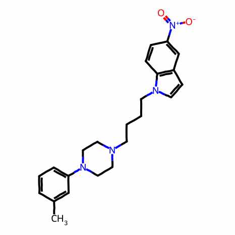 Cc1cccc(N2CCN(CCCCn3ccc4cc([N+](=O)[O-])ccc43)CC2)c1